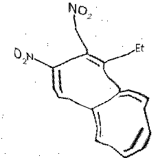 [CH2]Cc1c([N+](=O)[O-])c([N+](=O)[O-])cc2ccccc12